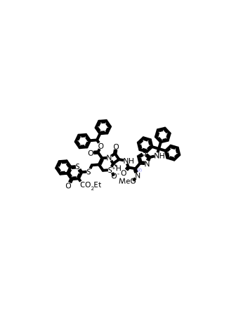 CCOC(=O)c1c(SCC2=C(C(=O)OC(c3ccccc3)c3ccccc3)N3C(=O)C(NC(=O)/C(=N\OC)c4csc(NC(c5ccccc5)(c5ccccc5)c5ccccc5)n4)[C@H]3[S+]([O-])C2)sc2ccccc2c1=O